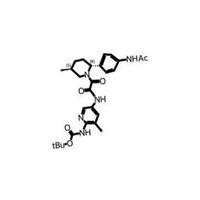 CC(=O)Nc1ccc([C@H]2CC[C@H](C)CN2C(=O)C(=O)Nc2cnc(NC(=O)OC(C)(C)C)c(C)c2)cc1